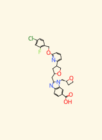 O=C(O)c1ccc2nc(CC3CC(c4cccc(OCc5ccc(Cl)cc5F)n4)CO3)n(C[C@@H]3CCO3)c2c1